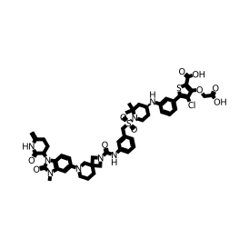 C=C1CCC(n2c(=O)n(C)c3cc(N4CCCC5(CN(C(=O)Nc6cccc(CS(=O)(=O)N7CC[C@H](Nc8cccc(-c9sc(C(=O)O)c(OCC(=O)O)c9Cl)c8)CC7(C)C)c6)C5)C4)ccc32)C(=O)N1